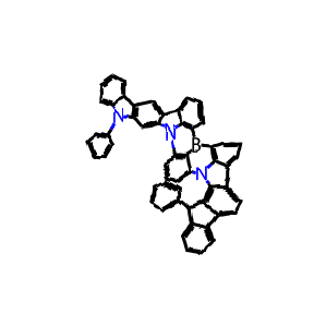 c1ccc(C2c3ccccc3-c3ccc4c5cccc6c5n(c4c32)-c2cccc3c2B6c2cccc4c5cc6c7ccccc7n(-c7ccccc7)c6cc5n-3c24)cc1